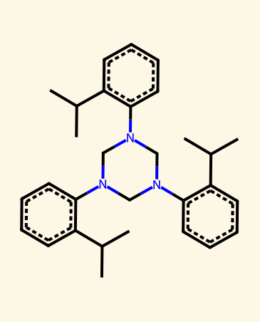 CC(C)c1ccccc1N1CN(c2ccccc2C(C)C)CN(c2ccccc2C(C)C)C1